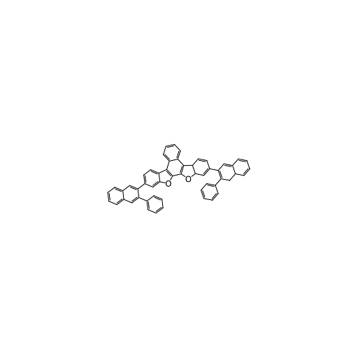 C1=CC2=CC(C3=CC4Oc5c(c6ccccc6c6c5oc5cc(-c7cc8ccccc8cc7-c7ccccc7)ccc56)C4C=C3)=C(c3ccccc3)CC2C=C1